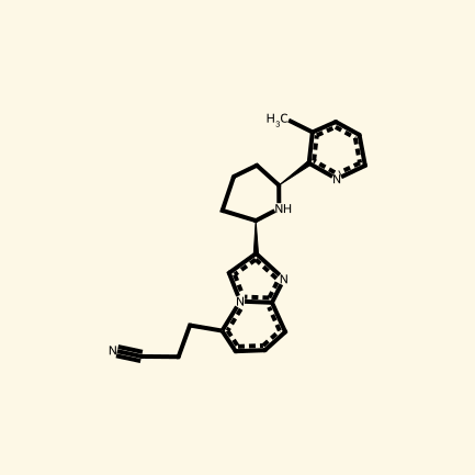 Cc1cccnc1[C@@H]1CCC[C@H](c2cn3c(CCC#N)cccc3n2)N1